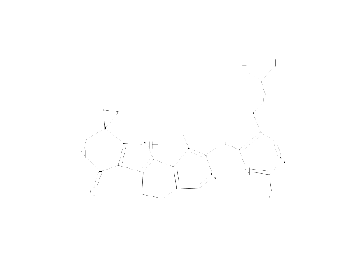 O=C1NCC2(CC2)c2[nH]c3c(c21)CCc1cnc(Oc2nc(Cl)ncc2COC(F)F)c(F)c1-3